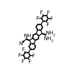 N#C/C(N)=C1\c2cc(-c3c(F)c(F)c(F)c(F)c3F)ccc2-c2cc3c(cc21)-c1ccc(-c2c(F)c(F)c(F)c(F)c2F)cc1C3=C(N)N